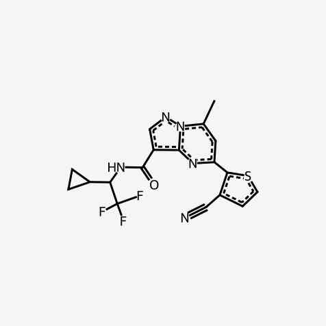 Cc1cc(-c2sccc2C#N)nc2c(C(=O)NC(C3CC3)C(F)(F)F)cnn12